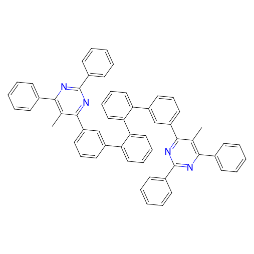 Cc1c(-c2ccccc2)nc(-c2ccccc2)nc1-c1cccc(-c2ccccc2-c2ccccc2-c2cccc(-c3nc(-c4ccccc4)nc(-c4ccccc4)c3C)c2)c1